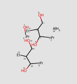 CC(C)O.CCCC(O)C(CC)CO.CCCC(O)C(CC)CO.[AlH3]